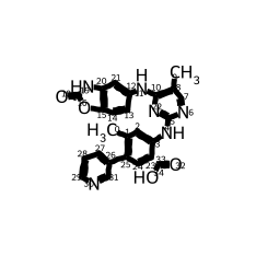 Cc1cc(Nc2ncc(C)c(Nc3ccc4oc(=O)[nH]c4c3)n2)ccc1-c1cccnc1.O=CO